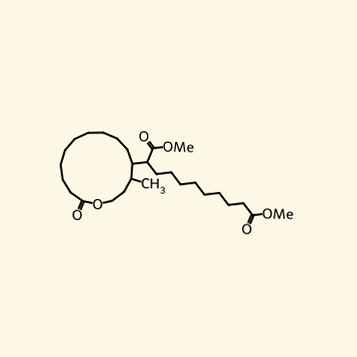 COC(=O)CCCCCCCCC(C(=O)OC)C1CCCCCCCCCC(=O)OCCC1C